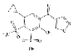 CS(=O)(=O)c1c(C2CC2)cc(C(=O)c2cnoc2)c(C(F)(F)F)c1S(C)(=O)=O